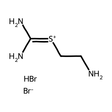 Br.NCC[S+]=C(N)N.[Br-]